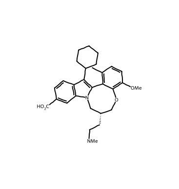 CNCC[C@H]1COc2c(OC)ccc(C)c2-c2c(C3CCCCC3)c3ccc(C(=O)O)cc3n2C1